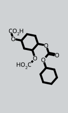 O=C(O)OC1CCC(OC(=O)OC2CCCCC2)C(OC(=O)O)C1